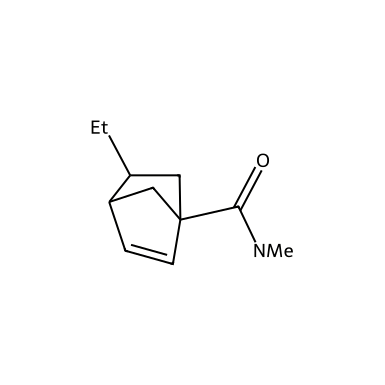 CCC1CC2(C(=O)NC)C=CC1C2